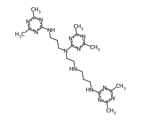 Cc1nc(C)nc(NCCCNCCN(CCCNc2nc(C)nc(C)n2)c2nc(C)nc(C)n2)n1